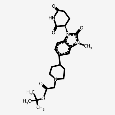 Cn1c(=O)n([C@@H]2CCC(=O)NC2=O)c2ccc(C3CCN(CC(=O)OC(C)(C)C)CC3)cc21